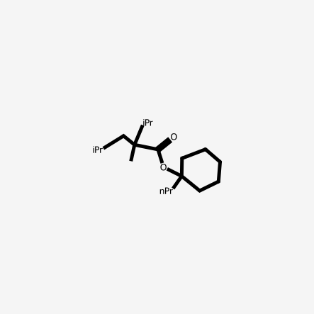 CCCC1(OC(=O)C(C)(CC(C)C)C(C)C)CCCCC1